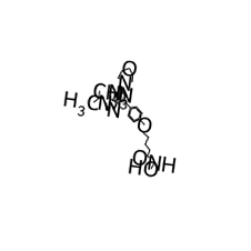 CC(C)n1cnc2c(-c3ccc(OCCCCC(=O)NO)cc3)nc(N3CCOCC3)nc21